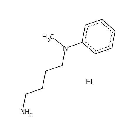 CN(CCCCN)c1ccccc1.I